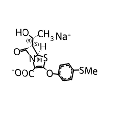 CSc1ccc(OC2=C(C(=O)[O-])N3C(=O)[C@H]([C@@H](C)O)[C@H]3S2)cc1.[Na+]